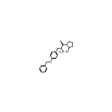 CC(=O)C1CCCN1C(=O)C(N)Cc1ccc(OCc2ccccc2)cc1